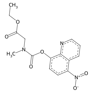 CCOC(=O)CN(C)C(=O)Oc1ccc([N+](=O)[O-])c2cccnc12